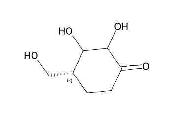 O=C1CC[C@H](CO)C(O)C1O